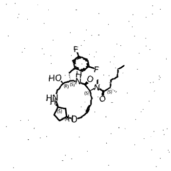 CCCC[C@H](C)C(=O)N(C)[C@H]1CC=CCO[C@@H]2CC[C@@H](C2)NC[C@@H](O)[C@H](Cc2cc(F)cc(F)c2)NC1=O